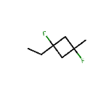 CCC1(F)CC(C)(F)C1